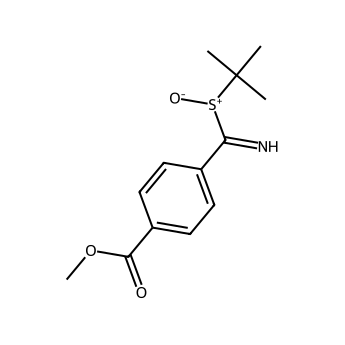 COC(=O)c1ccc(C(=N)[S+]([O-])C(C)(C)C)cc1